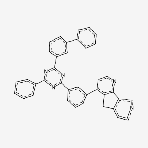 c1ccc(-c2cccc(-c3nc(-c4ccccc4)nc(-c4cccc(-c5ccnc6c5Cc5ccncc5-6)c4)n3)c2)cc1